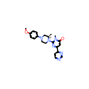 COc1ccc(N2CCN(c3nc(-c4ccncn4)cc(=O)n3C)[C@H](C)C2)cc1